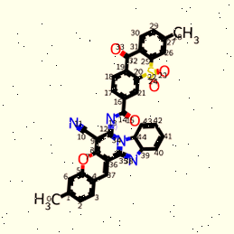 Cc1ccc2c(c1)Oc1c(C#N)/c(=N/C(=O)c3ccc4c(c3)S(=O)(=O)c3cc(C)ccc3C4=O)n3c(c1=C2)=NC1C=CC=CC13